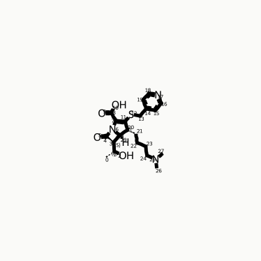 C[C@@H](O)[C@H]1C(=O)N2C(C(=O)O)=C(SCc3ccncc3)[C@H](CCCCN(C)C)[C@H]12